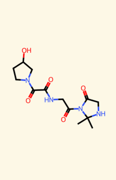 CC1(C)NCC(=O)N1C(=O)CNC(=O)C(=O)N1CCC(O)C1